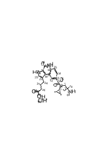 CNC(C)(C)CN(C1CC1)S(=O)(=O)c1ccc2[nH]c(=O)c3[nH]cc(CCCC(=O)O)c3c2c1.Cl